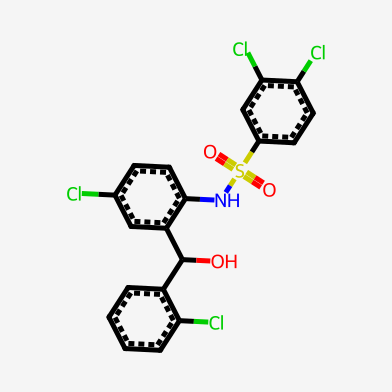 O=S(=O)(Nc1ccc(Cl)cc1C(O)c1ccccc1Cl)c1ccc(Cl)c(Cl)c1